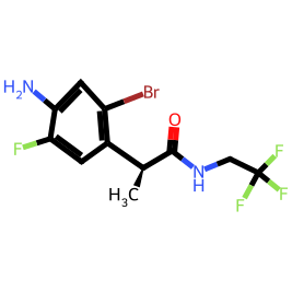 C[C@H](C(=O)NCC(F)(F)F)c1cc(F)c(N)cc1Br